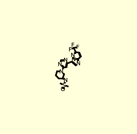 CS(C)(=O)=NC1CCCN(c2cc(-c3cnc4ccc(C(F)(F)F)nn34)ncn2)C1